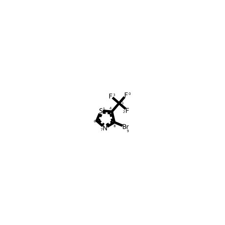 FC(F)(F)c1scnc1Br